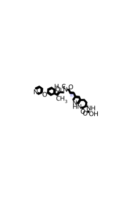 Cc1c(CN(C)C(=O)/C=C/c2cnc3c(c2)CC[C@H](NC(=O)O)C(=O)N3)oc2ccc(Oc3cccnc3)cc12